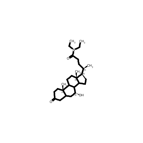 CCN(CC)C(=O)CC[C@@H](C)[C@H]1CCC2C3C(CC[C@@]21C)[C@@]1(C)CCC(=O)CC1C[C@H]3O